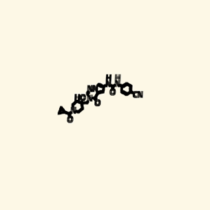 N#Cc1ccc(NC(=O)Nc2cc3c(=O)n(CC4(O)CCN(C(=O)C5CC5)CC4)cnn3c2)cc1